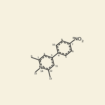 Cc1cc(-c2ccc([N+](=O)[O-])cc2)cc(C)[n+]1C